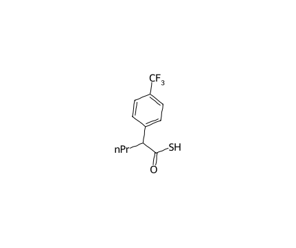 CCCC(C(=O)S)c1ccc(C(F)(F)F)cc1